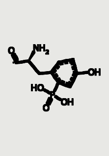 N[C@H]([C]=O)Cc1ccc(O)cc1P(=O)(O)O